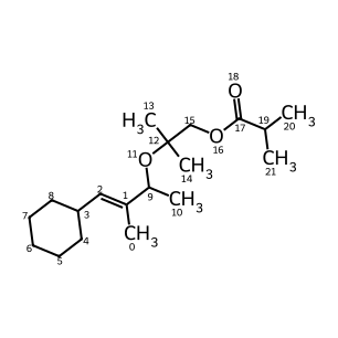 C/C(=C\C1CCCCC1)C(C)OC(C)(C)COC(=O)C(C)C